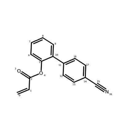 C=CC(=O)Oc1ccccc1-c1ccc(C#N)cc1